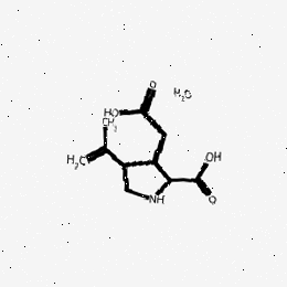 C=C(C)C1CNC(C(=O)O)C1CC(=O)O.O